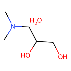 CN(C)CC(O)CO.O